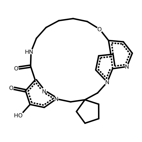 O=C1NCCCCCOc2ccnc3c2ccn3CC2(CCCC2)Cn2cc(O)c(=O)c1n2